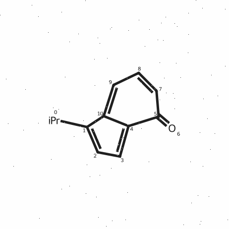 CC(C)C1=CC=C2C(=O)C=CC=C21